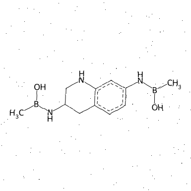 CB(O)Nc1ccc2c(c1)NCC(NB(C)O)C2